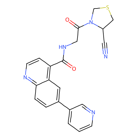 N#CC1CSCN1C(=O)CNC(=O)c1ccnc2ccc(-c3cccnc3)cc12